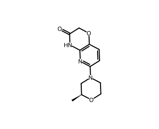 C[C@H]1CN(c2ccc3c(n2)NC(=O)CO3)CCO1